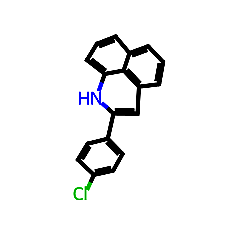 Clc1ccc(C2=Cc3cccc4cccc(c34)N2)cc1